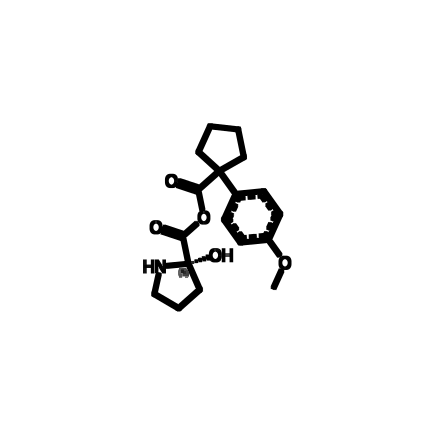 COc1ccc(C2(C(=O)OC(=O)[C@@]3(O)CCCN3)CCCC2)cc1